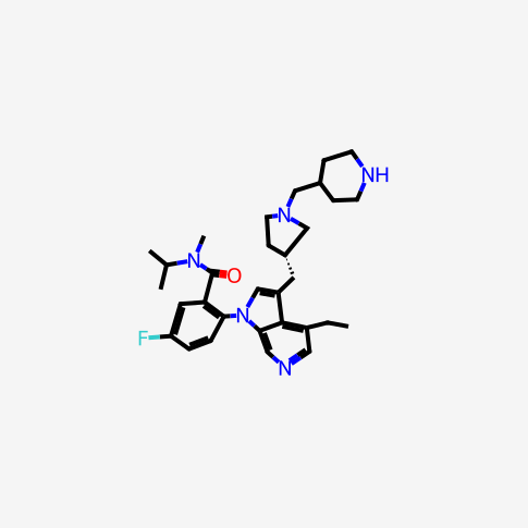 CCc1cncc2c1c(C[C@@H]1CCN(CC3CCNCC3)C1)cn2-c1ccc(F)cc1C(=O)N(C)C(C)C